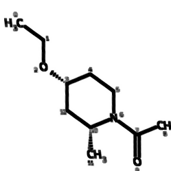 CCO[C@@H]1CCN(C(C)=O)[C@H](C)C1